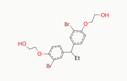 CCC(c1ccc(OCCO)c(Br)c1)c1ccc(OCCO)c(Br)c1